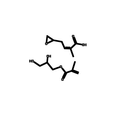 C=C(C)C(=O)OCC(O)CO.CC(=CCC1CO1)C(=O)O